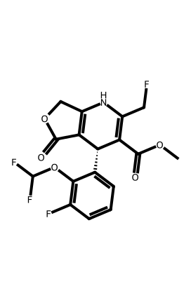 COC(=O)C1=C(CF)NC2=C(C(=O)OC2)[C@H]1c1cccc(F)c1OC(F)F